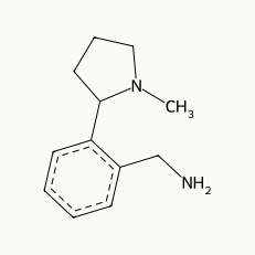 CN1CCCC1c1ccccc1CN